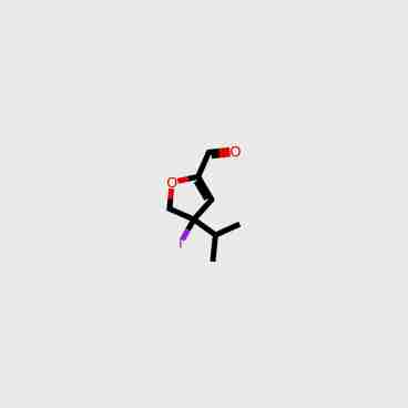 CC(C)C1(I)C=C(C=O)OC1